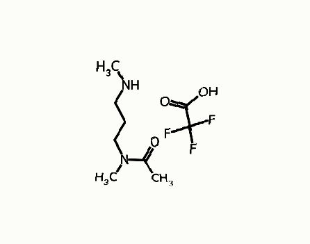 CNCCCN(C)C(C)=O.O=C(O)C(F)(F)F